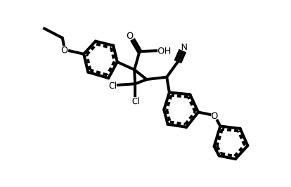 CCOc1ccc(C2(C(=O)O)C(C(C#N)c3cccc(Oc4ccccc4)c3)C2(Cl)Cl)cc1